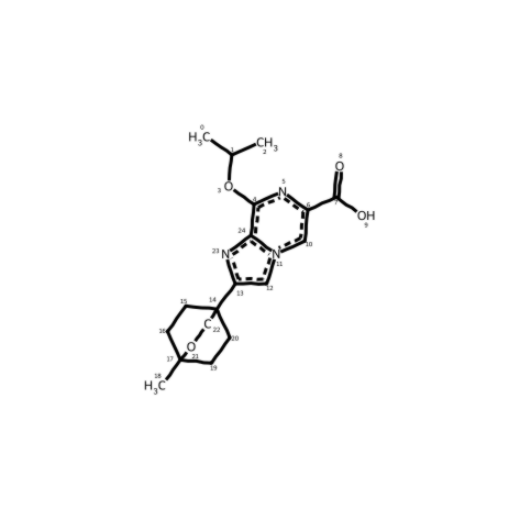 CC(C)Oc1nc(C(=O)O)cn2cc(C34CCC(C)(CC3)OC4)nc12